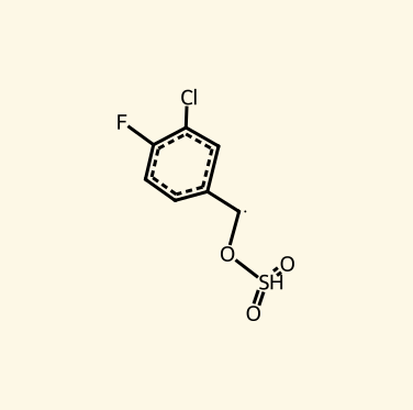 O=[SH](=O)O[CH]c1ccc(F)c(Cl)c1